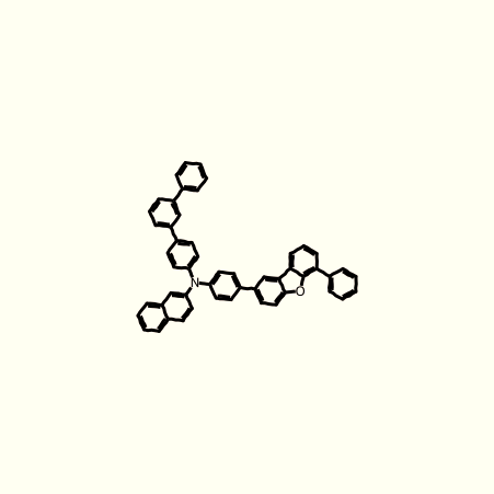 c1ccc(-c2cccc(-c3ccc(N(c4ccc(-c5ccc6oc7c(-c8ccccc8)cccc7c6c5)cc4)c4ccc5ccccc5c4)cc3)c2)cc1